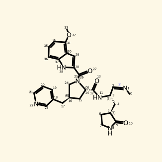 C/N=C\[C@H](C[C@@H]1CCNC1=O)NC(=O)[C@@H]1C[C@@H](Cc2cccnc2)CN1C(=O)c1cc2c(OC)cccc2[nH]1